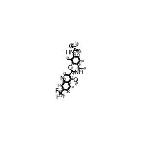 COc1c(C(=O)N[C@H](C)c2ccc(NS(C)(=O)=O)c(C)c2)cnc2cc(C(F)(F)F)ccc12